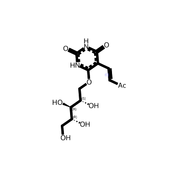 CC(=O)/C=C/c1c(OC[C@H](O)[C@H](O)[C@H](O)CO)[nH]c(=O)[nH]c1=O